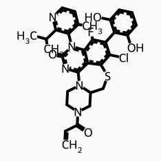 C=CC(=O)N1CCN2c3nc(=O)n(-c4c(C)ccnc4C(C)C)c4c(F)c(-c5c(O)cccc5O)c(Cl)c(c34)SCC2C1